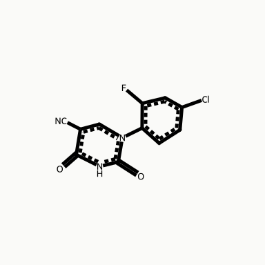 N#Cc1cn(-c2ccc(Cl)cc2F)c(=O)[nH]c1=O